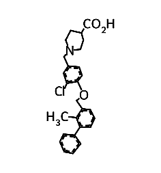 Cc1c(COc2ccc(CN3CCC(C(=O)O)CC3)cc2Cl)cccc1-c1ccccc1